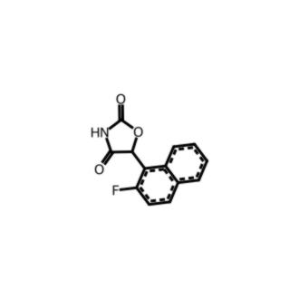 O=C1NC(=O)C(c2c(F)ccc3ccccc23)O1